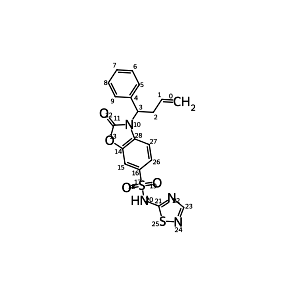 C=CCC(c1ccccc1)n1c(=O)oc2cc(S(=O)(=O)Nc3ncns3)ccc21